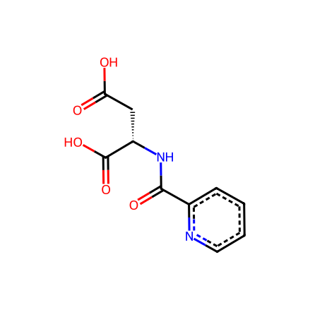 O=C(O)C[C@H](NC(=O)c1ccccn1)C(=O)O